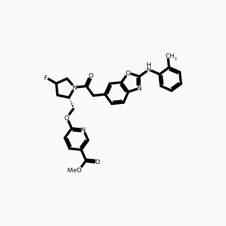 COC(=O)c1ccc(OC[C@@H]2CC(F)CN2C(=O)Cc2ccc3nc(Nc4ccccc4C)oc3c2)nc1